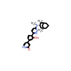 CN(c1ccc(-c2ccc(-c3cc[nH]c(=O)c3)cc2O)nn1)[C@H]1C[C@]2(C)CCC[C@](C)(C1)C2